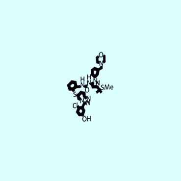 CSC(C)(C)c1cc(NC(=O)NCc2ccccc2Sc2ccc3nnc(-c4cc(O)ccc4Cl)n3c2)n(-c2cccc(CN3CCOCC3)c2)n1